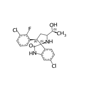 C[C@H](O)C1C[C@H](c2cccc(Cl)c2F)[C@@]2(N1)C(=O)Nc1cc(Cl)ccc12